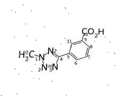 Cn1nnc(-c2cccc(C(=O)O)c2)n1